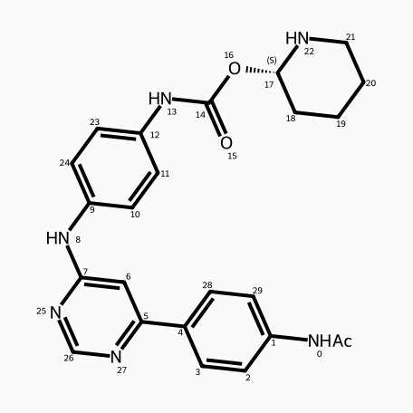 CC(=O)Nc1ccc(-c2cc(Nc3ccc(NC(=O)O[C@H]4CCCCN4)cc3)ncn2)cc1